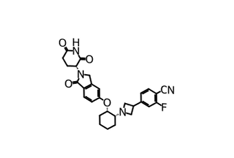 N#Cc1ccc(C2CN([C@@H]3CCCC[C@@H]3Oc3ccc4c(c3)CN([C@@H]3CCC(=O)NC3=O)C4=O)C2)cc1F